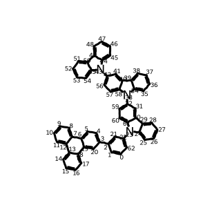 c1cc(-c2ccc3c4ccccc4c4ccccc4c3c2)cc(-n2c3ccccc3c3cc(-n4c5ccccc5c5cc(-n6c7ccccc7c7ccccc76)ccc54)ccc32)c1